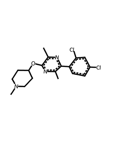 Cc1nc(-c2ccc(Cl)cc2Cl)c(C)nc1OC1CCN(C)CC1